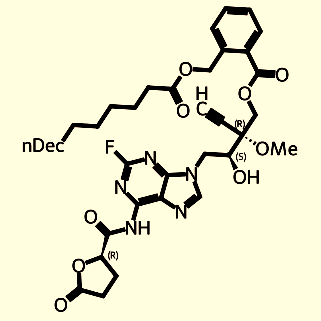 C#C[C@](COC(=O)c1ccccc1COC(=O)CCCCCCCCCCCCCCC)(OC)[C@@H](O)Cn1cnc2c(NC(=O)[C@H]3CCC(=O)O3)nc(F)nc21